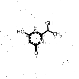 CC(S)c1nc(=O)cc(O)s1